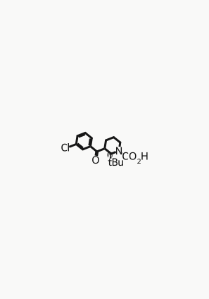 CC(C)(C)[C@H]1C(C(=O)c2cccc(Cl)c2)CCCN1C(=O)O